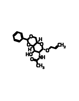 C=CCO[C@H]1O[C@@H]2COC(c3ccccc3)O[C@@H]2[C@H](O)[C@H]1NC(C)=O